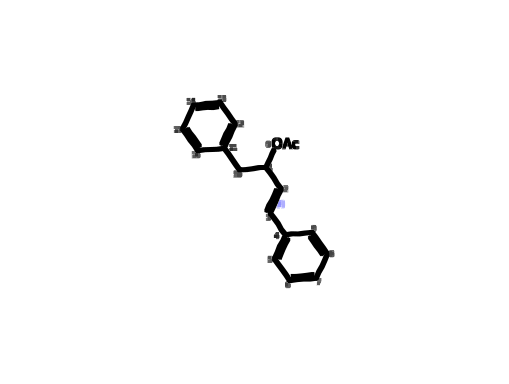 CC(=O)OC(/C=C/c1ccccc1)Cc1ccccc1